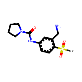 CC(C)S(=O)(=O)c1ccc(NC(=O)N2CCCC2)cc1CN